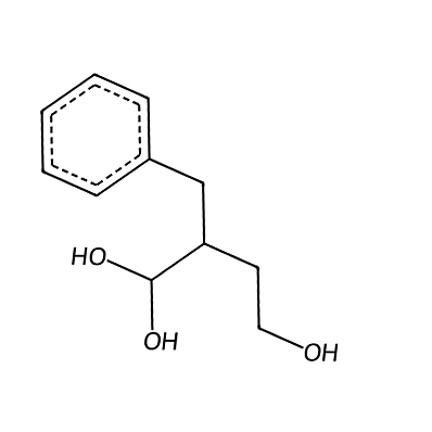 OCCC(Cc1ccccc1)C(O)O